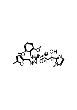 COc1cccc(OC)c1-n1c(NS(=O)(=O)[C@@H](C)[C@H](O)c2nccn2C)nnc1-c1ccc(C)o1